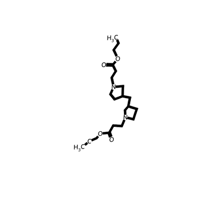 CCCOC(=O)CCN1CCC(CC2CCN(CCC(=O)OCCC)C2)C1